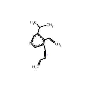 C=C/C=C\c1cncc(C(C)C)c1C=C